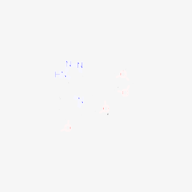 COc1ccc(-c2[nH]nnc2-c2cc(OC)c3c(c2)OCO3)nc1